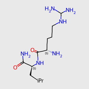 CC(C)C[C@H](NC(=O)[C@@H](N)CCCNC(N)N)C(N)=O